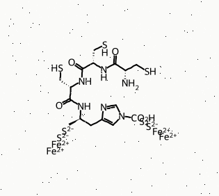 C[C@H](Cc1cn(C(=O)O)cn1)NC(=O)[C@H](CS)NC(=O)[C@H](CS)NC(=O)[C@@H](N)CS.[Fe+2].[Fe+2].[Fe+2].[Fe+2].[S-2].[S-2].[S-2].[S-2]